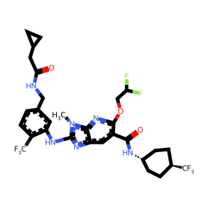 Cn1c(Nc2cc(CNC(=O)CC3CC3)ccc2C(F)(F)F)nc2cc(C(=O)N[C@H]3CC[C@H](C(F)(F)F)CC3)c(OCC(F)F)nc21